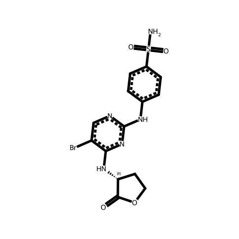 NS(=O)(=O)c1ccc(Nc2ncc(Br)c(N[C@@H]3CCOC3=O)n2)cc1